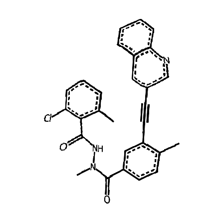 Cc1ccc(C(=O)N(C)NC(=O)c2c(C)cccc2Cl)cc1C#Cc1cnc2ccccc2c1